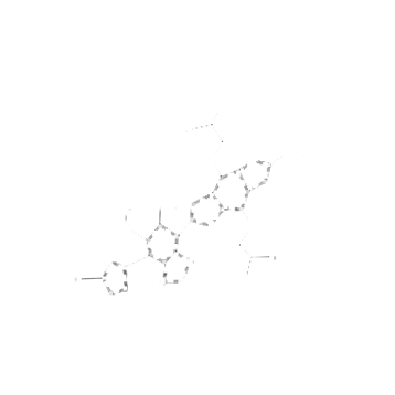 CCCCCCCCOc1c(C)c(-c2cc3c(OCC(CC)CCCC)c4sc(C(C)(C)C)cc4c(OCC(CC)CCCC)c3s2)c2nsnc2c1-c1ccc(C(C)(C)C)s1